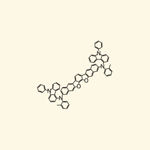 Cc1ccccc1N(c1ccc2cc3c(cc2c1)oc1c3ccc2c3cc4ccc(N(c5ccccc5C)c5cccc6c5c5ccccc5n6-c5ccccc5)cc4cc3oc21)c1cccc2c1c1ccccc1n2-c1ccccc1